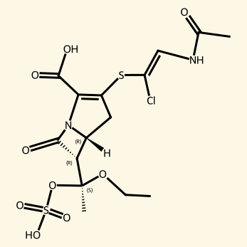 CCO[C@@](C)(OS(=O)(=O)O)[C@@H]1C(=O)N2C(C(=O)O)=C(SC(Cl)=CNC(C)=O)C[C@H]12